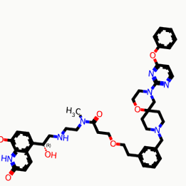 CN(CCNC[C@H](O)c1ccc(O)c2[nH]c(=O)ccc12)C(=O)CCOCCc1cccc(CN2CCC3(CC2)CN(c2nccc(Oc4ccccc4)n2)CCO3)c1